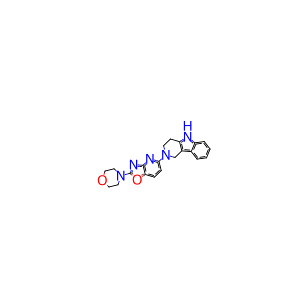 c1ccc2c3c([nH]c2c1)CCN(c1ccc2oc(N4CCOCC4)nc2n1)C3